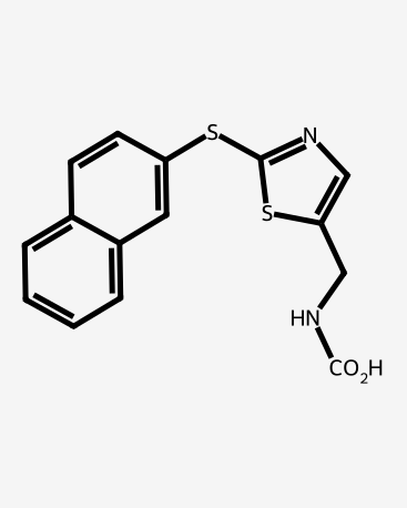 O=C(O)NCc1cnc(Sc2ccc3ccccc3c2)s1